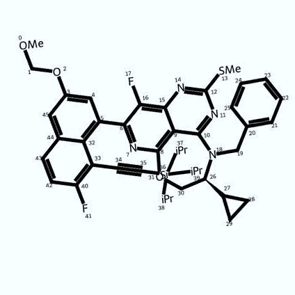 COCOc1cc(-c2nc3c4c(nc(SC)nc4c2F)N(Cc2ccccc2)[C@@H](C2CC2)CO3)c2c(C#C[Si](C(C)C)(C(C)C)C(C)C)c(F)ccc2c1